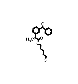 C[C@@H](C(=O)OCCCCC=S)c1cccc(C(=O)c2ccccc2)c1